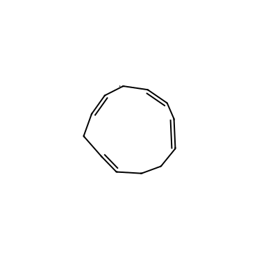 [CH]1C=CC=CCCC=CCC=C1